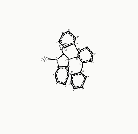 CC1N(C)c2ccccc2N1c1c(-c2ccccc2)cccc1-c1ccccc1